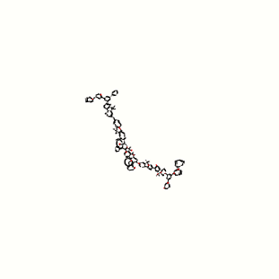 CC1(C)c2cc(-c3cc(-c4ccccc4)cc(-c4cccc(-c5ccccc5)c4)c3)ccc2-c2ccc(-c3ccc4c(c3)C(C)(C)c3cc(-c5cc6c(c7c5oc5ccccc57)-c5ccc7c(c5C6(C)C)C(C)(C)c5cc(-c6ccc8c(c6)C(C)(C)c6cc(-c9ccc%10c(c9)C(C)(C)c9cc(-c%11cc(-c%12ccccc%12)cc(-c%12cccc(-c%13ccccc%13)c%12)c%11)ccc9-%10)ccc6-8)c6c(oc8ccccc86)c5-7)ccc3-4)cc21